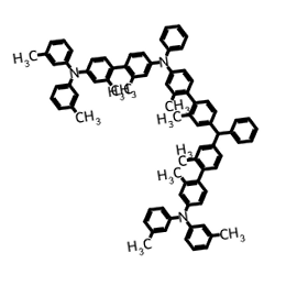 Cc1cccc(N(c2cccc(C)c2)c2ccc(-c3ccc(C(c4ccccc4)c4ccc(-c5ccc(N(c6ccccc6)c6ccc(-c7ccc(N(c8cccc(C)c8)c8cccc(C)c8)cc7C)c(C)c6)cc5C)c(C)c4)cc3C)c(C)c2)c1